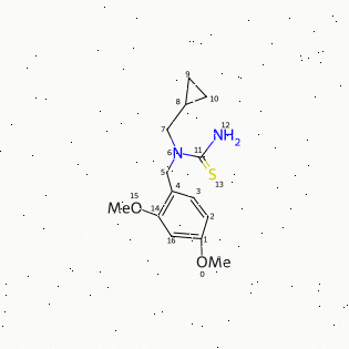 COc1ccc(CN(CC2CC2)C(N)=S)c(OC)c1